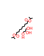 CC(C)OC(=O)CCCCCCCCC(=O)OC(C)C.OCC(O)CO